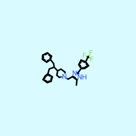 Cc1[nH]c(-c2ccc(C(F)(F)F)cc2)nc1CN1CCC(C(Cc2ccccc2)Cc2ccccc2)CC1